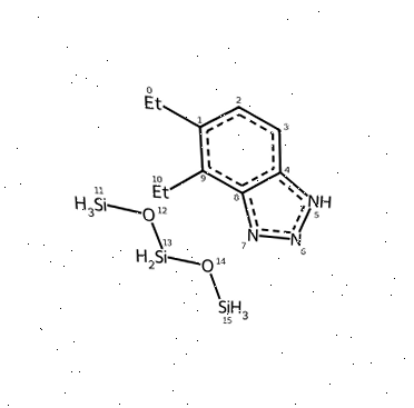 CCc1ccc2[nH]nnc2c1CC.[SiH3]O[SiH2]O[SiH3]